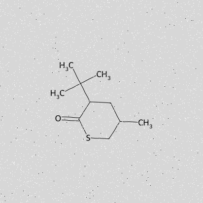 CC1CSC(=O)C(C(C)(C)C)C1